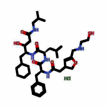 CC(C)CNC(=O)CC(O)[C@H](CC1CCCCC1)NC(=O)[C@H](CC(C)C)NC(=O)[C@H](Cc1ccccc1)NC(=O)CC1C=C(CNCCO)OC1.Cl